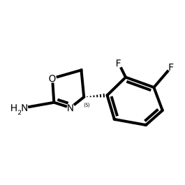 NC1=N[C@@H](c2cccc(F)c2F)CO1